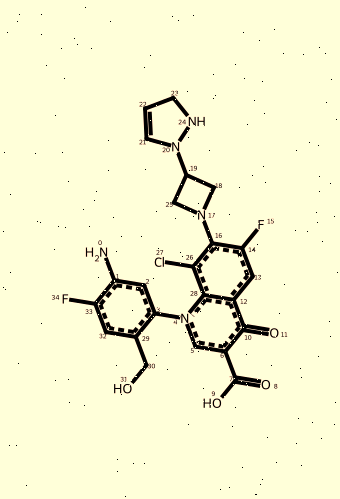 Nc1cc(-n2cc(C(=O)O)c(=O)c3cc(F)c(N4CC(N5C=CCN5)C4)c(Cl)c32)c(CO)cc1F